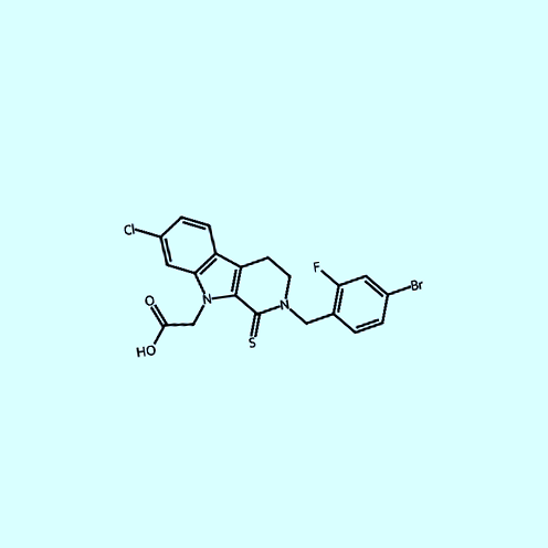 O=C(O)Cn1c2c(c3ccc(Cl)cc31)CCN(Cc1ccc(Br)cc1F)C2=S